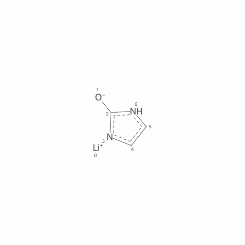 [Li+].[O-]c1ncc[nH]1